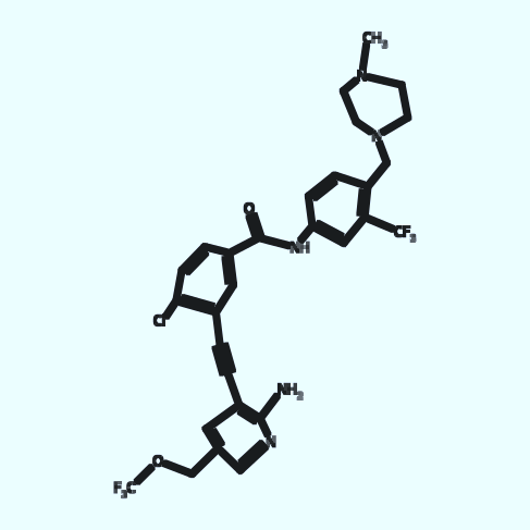 CN1CCN(Cc2ccc(NC(=O)c3ccc(Cl)c(C#Cc4cc(COC(F)(F)F)cnc4N)c3)cc2C(F)(F)F)CC1